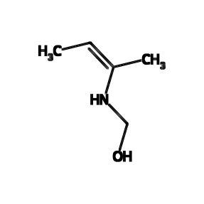 CC=C(C)NCO